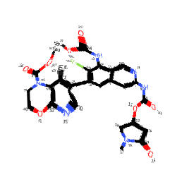 CCc1c(-c2cc3cc(NC(=O)OC4CC(=O)N(C)C4)ncc3c(NC(=O)OC(C)(C)C)c2F)cnc2c1N(C(=O)OC(C)(C)C)CCO2